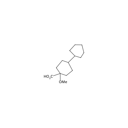 COC1(C(=O)O)CCC(C2CCCCC2)CC1